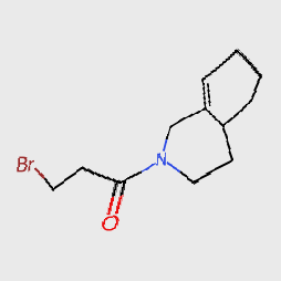 O=C(CCBr)N1CCC2CCCC=C2C1